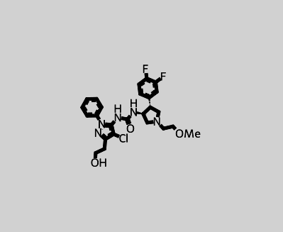 COCCN1C[C@@H](NC(=O)Nc2c(Cl)c(CCO)nn2-c2ccccc2)[C@H](c2ccc(F)c(F)c2)C1